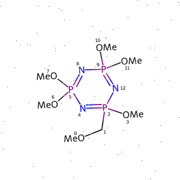 COCP1(OC)=NP(OC)(OC)=NP(OC)(OC)=N1